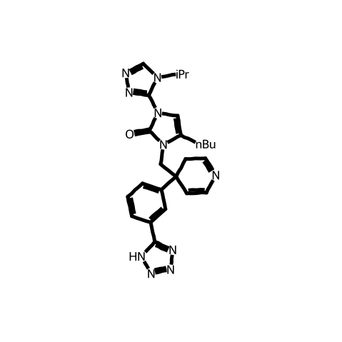 CCCCc1cn(-c2nncn2C(C)C)c(=O)n1CC1(c2cccc(-c3nnn[nH]3)c2)C=CN=CC1